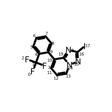 FC(F)(F)c1ccccc1-c1cccn2nc(I)nc12